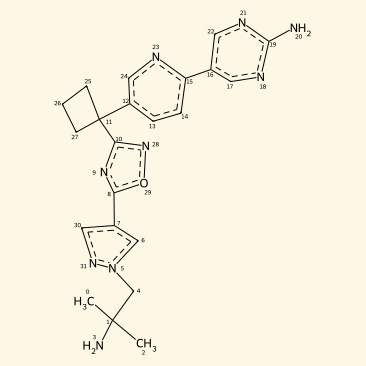 CC(C)(N)Cn1cc(-c2nc(C3(c4ccc(-c5cnc(N)nc5)nc4)CCC3)no2)cn1